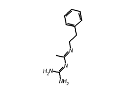 C/C(N=C(N)N)=N\CCc1ccccc1